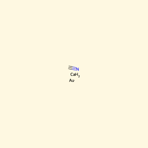 C#N.[Au].[CaH2]